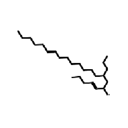 [CH2]C(C=CCCC)CC(CCC)CCCCCCCC=CCCCCC